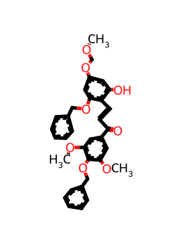 COCOc1cc(O)c(C=CC(=O)c2cc(OC)c(OCc3ccccc3)c(OC)c2)c(OCc2ccccc2)c1